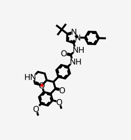 COc1cc(OC)c(C(=O)C(c2ccc(NC(=O)Nc3cc(C(C)(C)C)nn3-c3ccc(C)cc3)cc2)C2CCNCC2)c(OC)c1